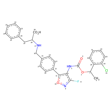 CC(OC(=O)Nc1c(F)noc1-c1ccc(CNC(Cc2ccccc2)C(=O)O)cc1)c1ccccc1Cl